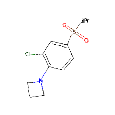 CC(C)S(=O)(=O)c1ccc(N2CCC2)c(Cl)c1